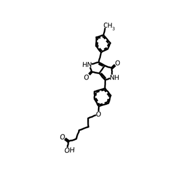 Cc1ccc(C2=C3C(=O)NC(c4ccc(OCCCCC(=O)O)cc4)=C3C(=O)N2)cc1